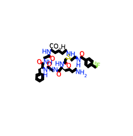 NCCCC[C@H](NC(=O)CNC(=O)[C@H](Cc1ccccc1)NC(=O)CNC(=O)[C@H](CCCCN)NC(=O)CSCCNC(=O)c1ccc(C[18F])cc1)C(=O)O